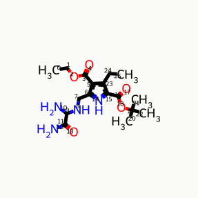 CCOC(=O)c1c(CNC(N)C(N)=O)[nH]c(C(=O)OC(C)(C)C)c1CC